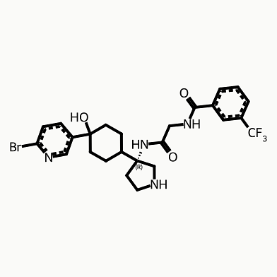 O=C(CNC(=O)c1cccc(C(F)(F)F)c1)N[C@@]1(C2CCC(O)(c3ccc(Br)nc3)CC2)CCNC1